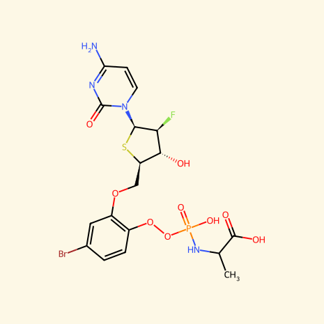 CC(NP(=O)(O)OOc1ccc(Br)cc1OC[C@H]1S[C@@H](n2ccc(N)nc2=O)[C@@H](F)[C@@H]1O)C(=O)O